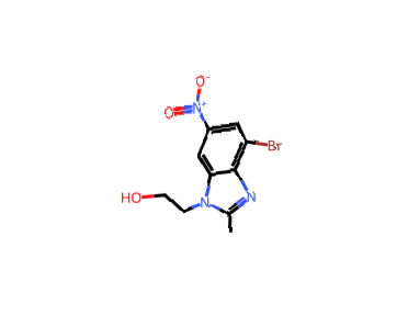 Cc1nc2c(Br)cc([N+](=O)[O-])cc2n1CCO